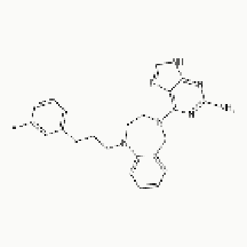 Nc1nc(N2CCN(CCCc3cccc(F)c3)c3ccccc3C2)c2nc[nH]c2n1